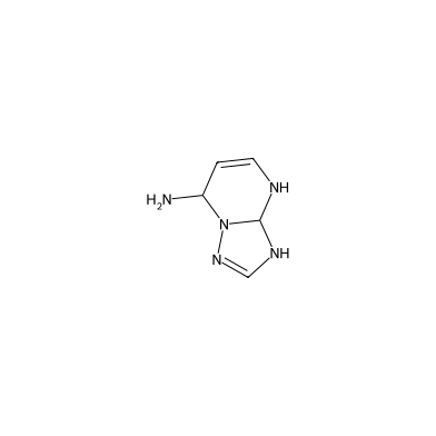 NC1C=CNC2NC=NN12